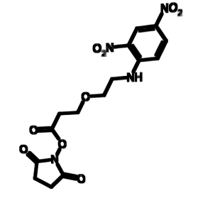 O=C(CCOCCNc1ccc([N+](=O)[O-])cc1[N+](=O)[O-])ON1C(=O)CCC1=O